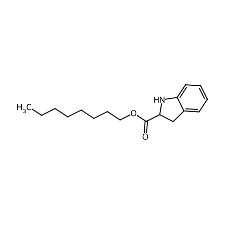 CCCCCCCCOC(=O)C1Cc2ccccc2N1